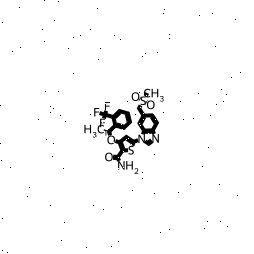 C[C@@H](Oc1cc(-n2cnc3ccc(CS(C)(=O)=O)cc32)sc1C(N)=O)c1ccccc1C(F)(F)F